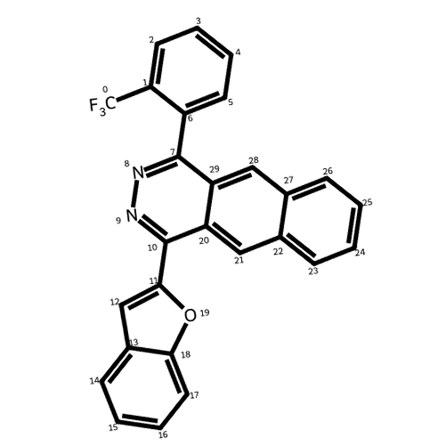 FC(F)(F)c1ccccc1-c1nnc(-c2cc3ccccc3o2)c2cc3ccccc3cc12